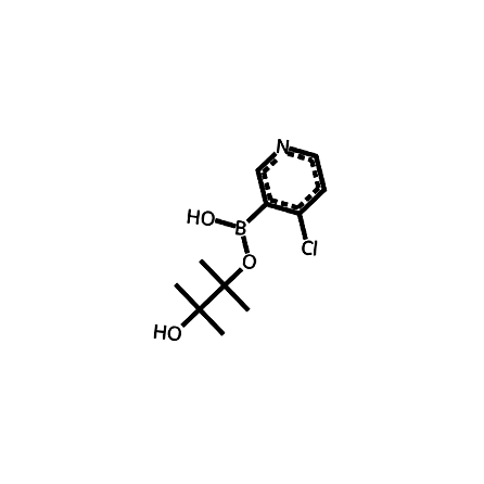 CC(C)(O)C(C)(C)OB(O)c1cnccc1Cl